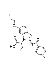 CCCOc1ccc2sc(=NC(=O)c3ccc(C)cc3)n(C(CC)C(=O)O)c2c1